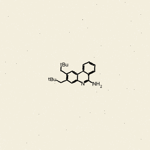 CC(C)(C)Cc1cc2nc(N)c3ccccc3c2cc1CC(C)(C)C